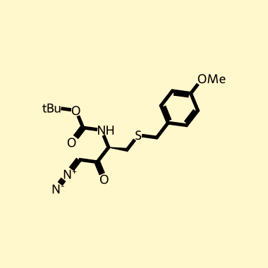 COc1ccc(CSC[C@H](NC(=O)OC(C)(C)C)C(=O)C=[N+]=[N-])cc1